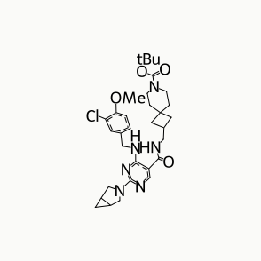 COc1ccc(CNc2nc(N3CC4CC4C3)ncc2C(=O)NCC2CC3(CCN(C(=O)OC(C)(C)C)CC3)C2)cc1Cl